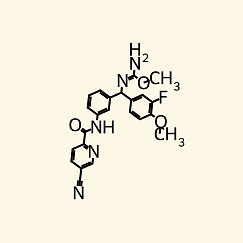 CO/C(N)=N\C(c1cccc(NC(=O)c2ccc(C#N)cn2)c1)c1ccc(OC)c(F)c1